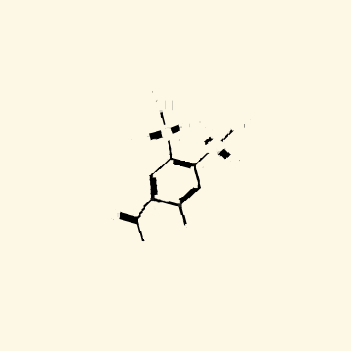 CCCCS(=O)(=O)c1cc(CC)c(C(=O)Cl)cc1S(C)(=O)=O